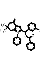 CC1(C)CC(=O)c2cc(C(OC(=O)c3ccccc3)c3cccc(Cl)c3)n(-c3ccccc3)c2C1